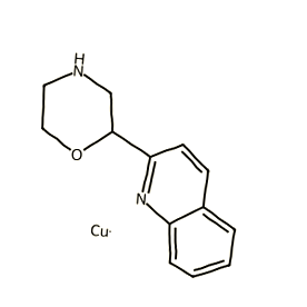 [Cu].c1ccc2nc(C3CNCCO3)ccc2c1